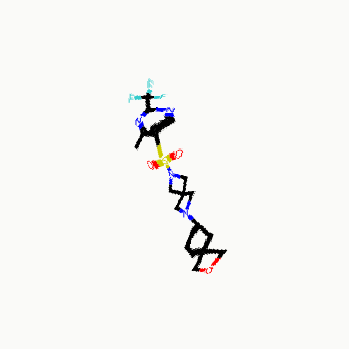 Cc1nc(C(F)(F)F)ncc1S(=O)(=O)N1CC2(CN(C3CC4(COC4)C3)C2)C1